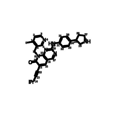 Cc1ccncc1Cn1c(=O)c(C#CC(C)C)cc2cnc(Nc3ccc(C4CCNC4)cc3)nc21